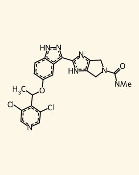 CNC(=O)N1Cc2nc(-c3n[nH]c4ccc(OC(C)c5c(Cl)cncc5Cl)cc34)[nH]c2C1